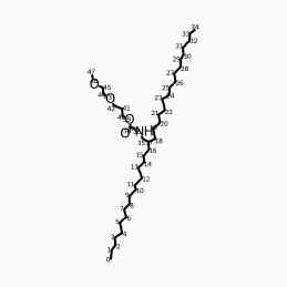 CCCCCCCCCCCCCCCCCC(CCCCCCCCCCCCCCCCC)CNC(=O)OCCCOCCOC